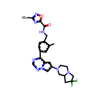 Cc1cc(-c2ncnn3cc(N4CCN5CC(F)(F)CC5C4)cc23)ccc1CNC(=O)c1nc(C(C)(C)C)no1